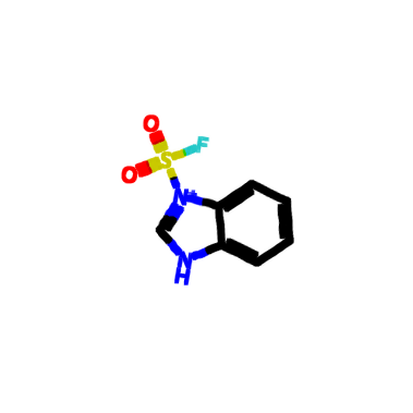 O=S(=O)(F)[n+]1c[nH]c2ccccc21